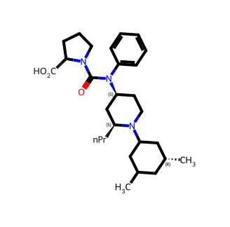 CCC[C@H]1C[C@@H](N(C(=O)N2CCCC2C(=O)O)c2ccccc2)CCN1C1CC(C)C[C@@H](C)C1